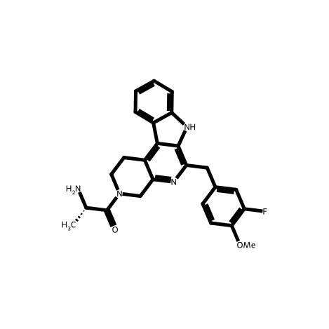 COc1ccc(Cc2nc3c(c4c2[nH]c2ccccc24)CCN(C(=O)[C@H](C)N)C3)cc1F